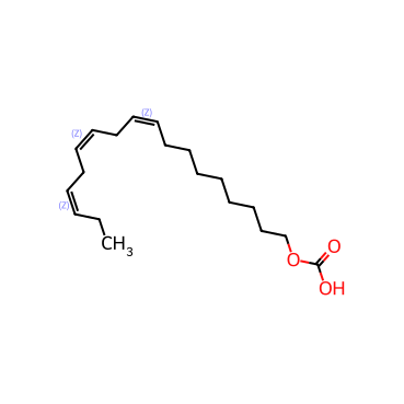 CC/C=C\C/C=C\C/C=C\CCCCCCCCOC(=O)O